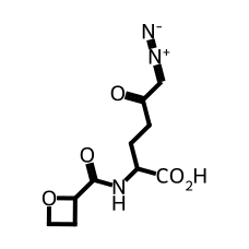 [N-]=[N+]=CC(=O)CCC(NC(=O)C1CCO1)C(=O)O